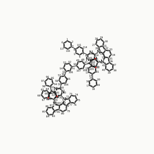 c1ccc(-c2ccc(-c3nc(-c4ccc(-c5ccccc5)cc4)nc(-n4c5ccccc5c5ccc6c7ccccc7n(-c7ccc(-c8ccc(-c9cccc(-c%10ccc(-c%11nc(-c%12ccccc%12)nc(-n%12c%13ccccc%13c%13ccc%14c%15ccccc%15n(-c%15ccc(-c%16ccccc%16)cc%15)c%14c%13%12)n%11)cc%10)c9)cc8)cc7)c6c54)n3)cc2)cc1